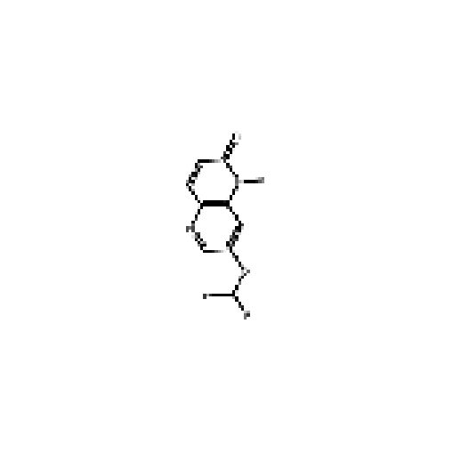 Cn1c(=O)ccc2ncc(OC(F)F)cc21